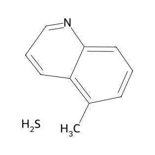 Cc1cccc2ncccc12.S